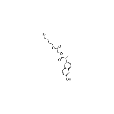 CC(C(=O)OCC(=O)OCCCCBr)c1ccc2cc(O)ccc2c1